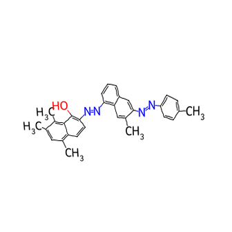 Cc1ccc(N=Nc2cc3cccc(N=Nc4ccc5c(C)cc(C)c(C)c5c4O)c3cc2C)cc1